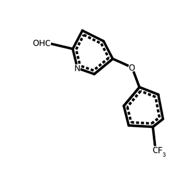 O=Cc1ccc(Oc2ccc(C(F)(F)F)cc2)cn1